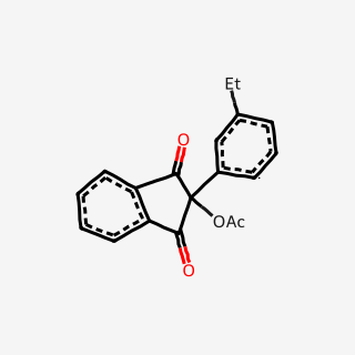 CCc1cc[c]c(C2(OC(C)=O)C(=O)c3ccccc3C2=O)c1